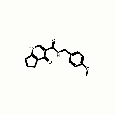 COc1ccc(CNC(=O)c2c[nH]c3c(c2=O)CCC3)cc1